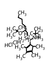 CCCCCC(C[SiH2][Ti]([NH]C(C)(C)C)[C]1=C(C)C(C)=C(C)C1C)OC(C)(C)C.Cl.Cl